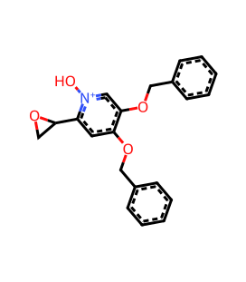 O[n+]1cc(OCc2ccccc2)c(OCc2ccccc2)cc1C1CO1